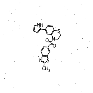 Cc1nc2ccc(S(=O)(=O)N3CCSc4ccc(-c5ccc[nH]5)cc43)cc2s1